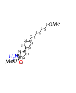 COCCCCCCCc1ccc([C@H]2CC[C@](N)(C(=O)OC)C2)cc1